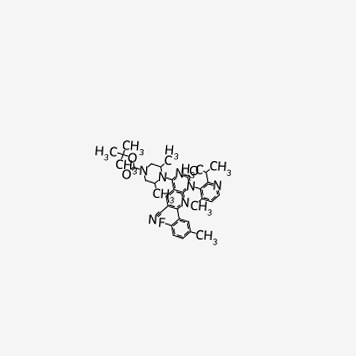 Cc1ccc(F)c(-c2nc3c(cc2C#N)c(N2C(C)CN(C(=O)OC(C)(C)C)CC2C)nc(=O)n3-c2c(C)ccnc2C(C)C)c1